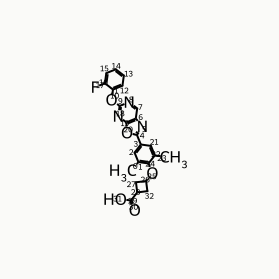 Cc1cc(-c2nc3cnc(Oc4ccccc4F)nc3o2)cc(C)c1OC1CC(C(=O)O)C1